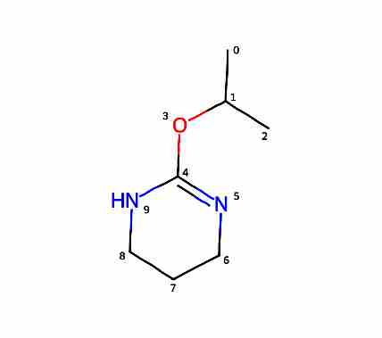 CC(C)OC1=NCCCN1